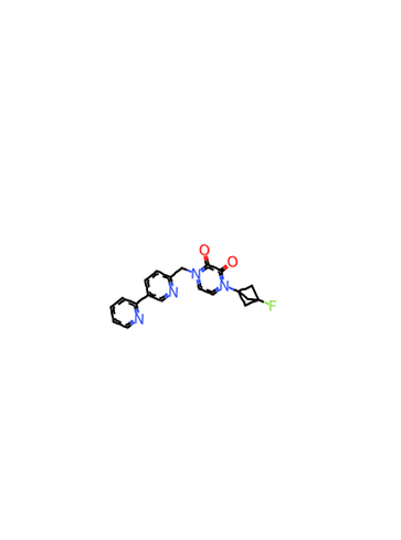 O=c1c(=O)n(C23CC(F)(C2)C3)ccn1Cc1ccc(-c2ccccn2)cn1